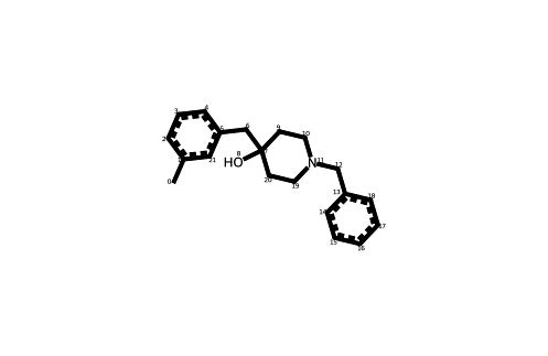 Cc1cccc(CC2(O)CCN(Cc3ccccc3)CC2)c1